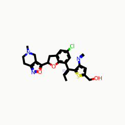 C=Nc1cc(CO)sc1/C(=C\C)c1cc(Cl)cc2c1OC(c1onc3c1CN(C)CC3)C2